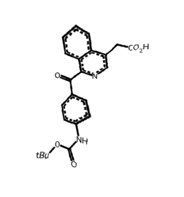 CC(C)(C)OC(=O)Nc1ccc(C(=O)c2ncc(CC(=O)O)c3ccccc23)cc1